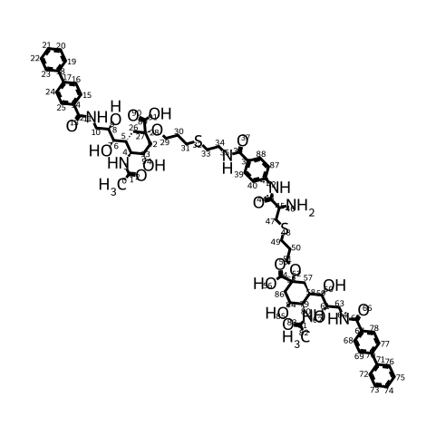 CC(=O)N[C@H]1[C@H]([C@H](O)[C@H](O)CNC(=O)c2ccc(-c3ccccc3)cc2)C[C@@](OCCCSCCNC(=O)c2ccc(NC(=O)C(N)CSCCCO[C@@]3(C(=O)O)C[C@@H]([C@H](O)[C@H](O)CNC(=O)c4ccc(-c5ccccc5)cc4)[C@H](NC(C)=O)[C@@H](O)C3)cc2)(C(=O)O)C[C@@H]1O